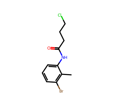 Cc1c(Br)cccc1NC(=O)CCCCl